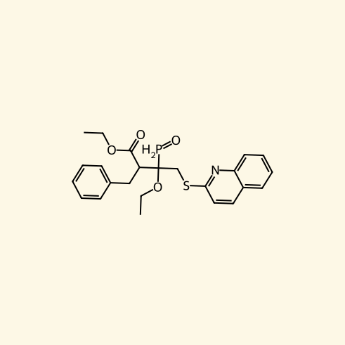 CCOC(=O)C(Cc1ccccc1)C(CSc1ccc2ccccc2n1)(OCC)[PH2]=O